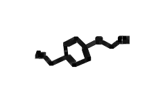 CC(=O)Cc1ccc(OCC#N)cc1